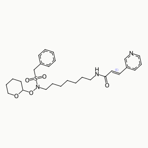 O=C(/C=C/c1cccnc1)NCCCCCCCN(OC1CCCCO1)S(=O)(=O)Cc1ccccc1